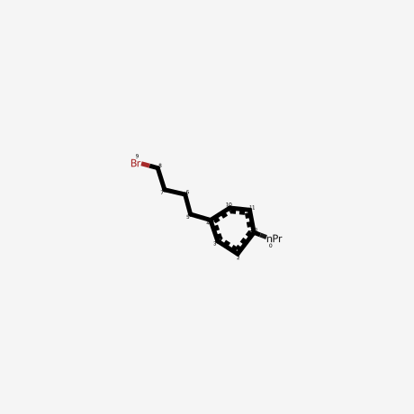 CCCc1ccc(CCCCBr)cc1